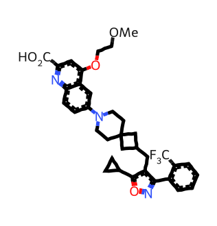 COCCOc1cc(C(=O)O)nc2ccc(N3CCC4(CC3)CC(Cc3c(-c5ccccc5C(F)(F)F)noc3C3CC3)C4)cc12